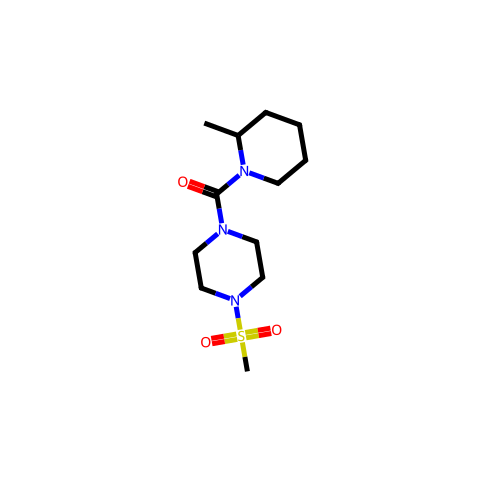 CC1CCCCN1C(=O)N1CCN(S(C)(=O)=O)CC1